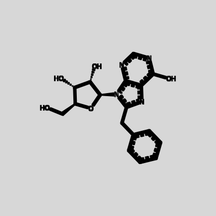 OC[C@@H]1O[C@H](n2c(Cc3ccccc3)nc3c(O)ncnc32)[C@@H](O)[C@H]1O